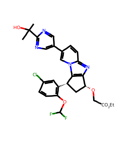 CCOC(=O)CO[C@@H]1C[C@H](c2cc(Cl)ccc2OC(F)F)c2c1nc1ccc(-c3cnc(C(C)(C)O)nc3)cn21